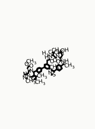 COC(=O)C[C@@H]1N=C(c2ccc(-c3cccc(CC(=O)NC(C(=O)N4C[C@H](O)C[C@H]4C(=O)N[C@@H](C)c4ccc(-c5scnc5C)cc4)C(C)(C)C)c3)cc2)c2c(sc(C)c2C)-n2c(C)nnc21